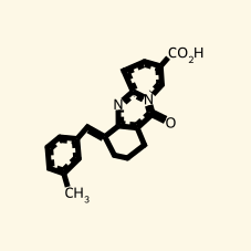 Cc1cccc(C=C2CCCc3c2nc2ccc(C(=O)O)cn2c3=O)c1